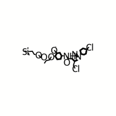 COc1cc(NC(=O)c2nn(-c3ccc(Cl)cc3)cc2CCl)ccc1OCC(C)OCOCC[Si](C)(C)C